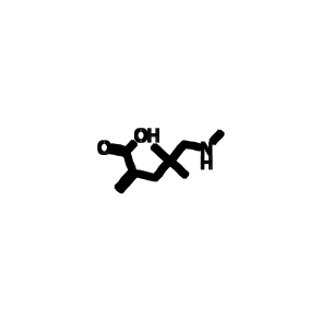 C=C(CC(C)(C)CNC)C(=O)O